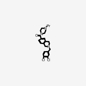 CC(C)N1CCN(C(=O)c2ccc3c(c2)CCN(Cc2ccc(Cl)c(Cl)c2)C3)CC1